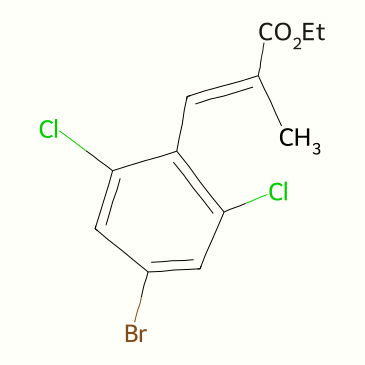 CCOC(=O)C(C)=Cc1c(Cl)cc(Br)cc1Cl